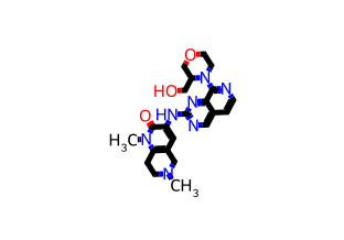 CN1CCc2c(cc(Nc3ncc4ccnc(N5CCOCC5CO)c4n3)c(=O)n2C)C1